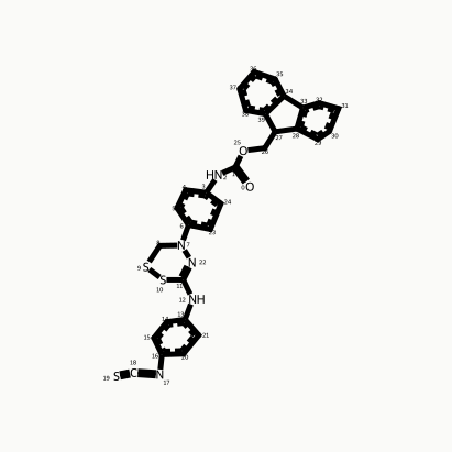 O=C(Nc1ccc(N2CSSC(Nc3ccc(N=C=S)cc3)=N2)cc1)OCC1c2ccccc2-c2ccccc21